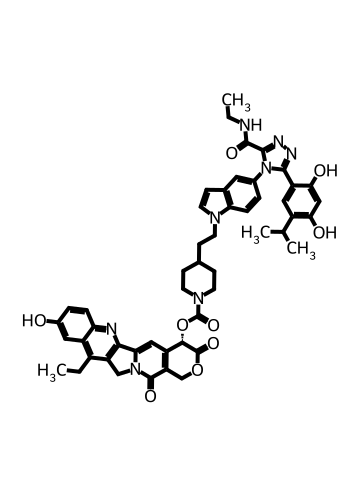 CCNC(=O)c1nnc(-c2cc(C(C)C)c(O)cc2O)n1-c1ccc2c(ccn2CCC2CCN(C(=O)O[C@@H]3C(=O)OCc4c3cc3n(c4=O)Cc4c-3nc3ccc(O)cc3c4CC)CC2)c1